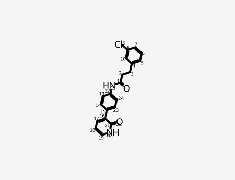 O=C(CCc1cccc(Cl)c1)Nc1ccc(-c2ccc[nH]c2=O)cc1